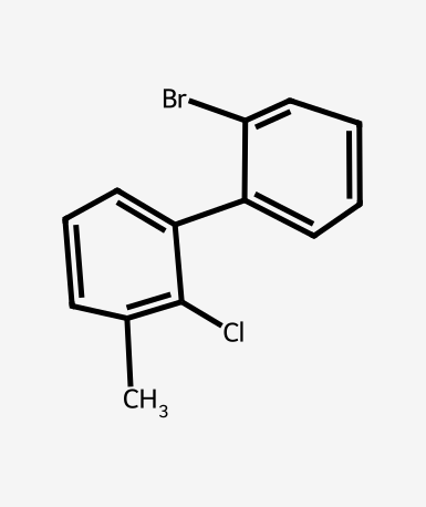 Cc1cccc(-c2ccccc2Br)c1Cl